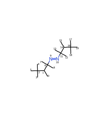 CC(C(C)(C)C)C(C)(C)/N=N/C(C)(C)C(C)C(C)(C)C